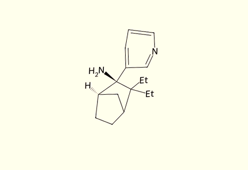 CCC1(CC)C2CC[C@H](C2)[C@]1(N)c1cccnc1